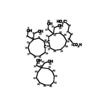 O=C(O)CCCCC(=O)O.OCC1(CO)CCCCCCCCC1.OCC1(CO)CCCCCCCCC1.OCC1(CO)CCCCCCCCC1